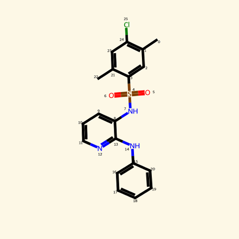 Cc1cc(S(=O)(=O)Nc2cccnc2Nc2ccccc2)c(C)cc1Cl